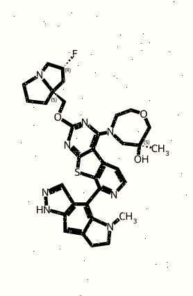 CN1CCc2cc3[nH]ncc3c(-c3nccc4c3sc3nc(OC[C@@]56CCCN5C[C@H](F)C6)nc(N5CCOC[C@@](C)(O)C5)c34)c21